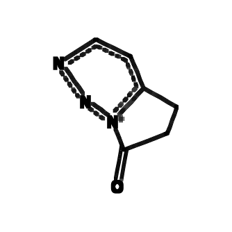 O=C1CCc2ccnn[n+]21